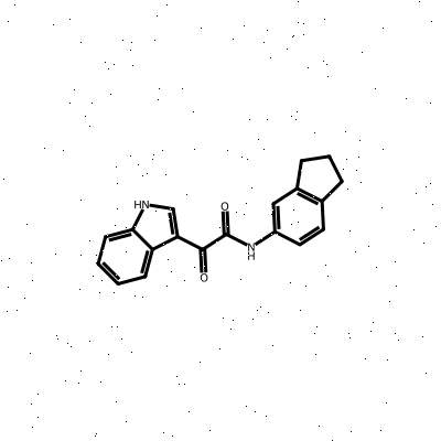 O=C(Nc1ccc2c(c1)CCC2)C(=O)c1c[nH]c2ccccc12